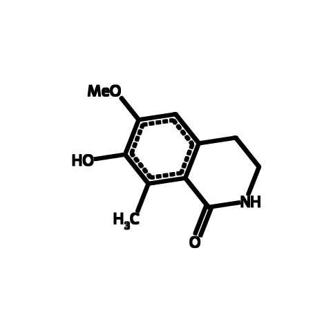 COc1cc2c(c(C)c1O)C(=O)NCC2